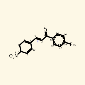 O=C(/C=C/C1=CCC([N+](=O)[O-])C=C1)c1ccc(F)cc1